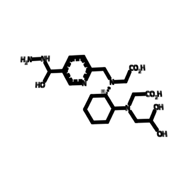 NNC(O)c1ccc(CN(CC(=O)O)[C@H]2CCCCC2N(CC(=O)O)CC(O)O)nc1